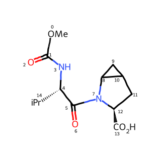 COC(=O)N[C@H](C(=O)N1C2CC2C[C@H]1C(=O)O)C(C)C